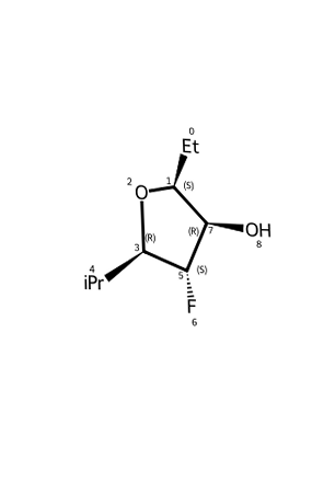 CC[C@@H]1O[C@H](C(C)C)[C@@H](F)[C@@H]1O